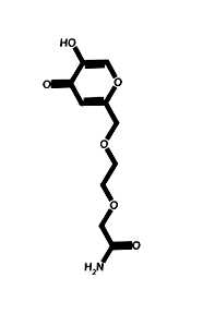 NC(=O)COCCOCc1cc(=O)c(O)co1